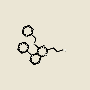 CCCc1nc(NCc2ccccn2)c2c(-c3ccccc3)cccc2n1